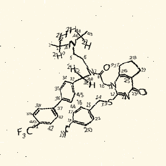 [2H]C([2H])(C)N(CCN(C(=O)Cn1c(SCc2ccc(F)cc2)nc(=O)c2c1CCC2)C([2H])([2H])c1ccc(-c2ccc(C(F)(F)F)cc2)cc1)C([2H])([2H])C